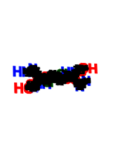 Cc1c(COc2cc(OCc3cncc(C#N)c3)c(CNC/C=C\C(=O)O)cc2Cl)cccc1-c1cccc(COc2cc(OCc3cncc(C=N)c3)c(CNC/C=C\C(=O)O)cc2Cl)c1C